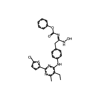 CCc1c(C)nc(-c2ccc(Cl)s2)nc1Nc1ccc(C/C(=N\C(=O)Oc2ccccc2)NO)cc1